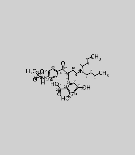 CCCCN(CCCC)CCNC(=O)c1ccc(NS(C)(=O)=O)cc1.O=C(O)c1ccc(O)cc1O